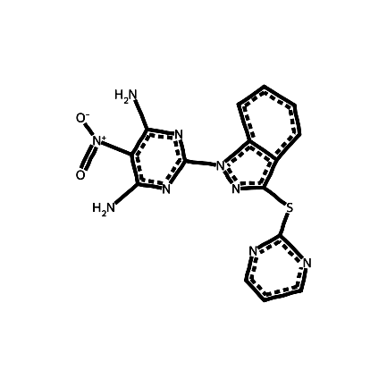 Nc1nc(-n2nc(Sc3ncccn3)c3ccccc32)nc(N)c1[N+](=O)[O-]